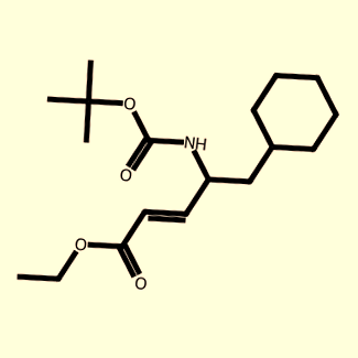 CCOC(=O)C=CC(CC1CCCCC1)NC(=O)OC(C)(C)C